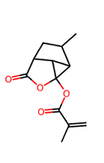 C=C(C)C(=O)OC12OC(=O)C3CC(C)C1C32